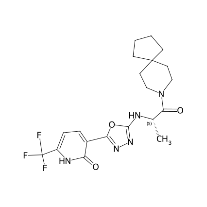 C[C@H](Nc1nnc(-c2ccc(C(F)(F)F)[nH]c2=O)o1)C(=O)N1CCC2(CCCC2)CC1